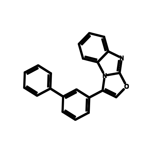 c1ccc(-c2cccc(-c3coc4nc5ccccc5n34)c2)cc1